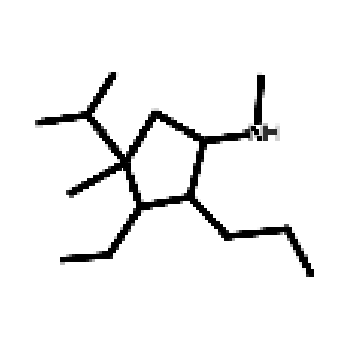 CCCC1C(NC)CC(C)(C(C)C)C1CC